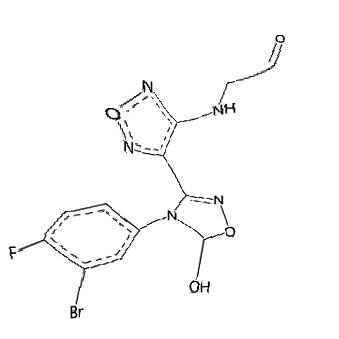 O=CCNc1nonc1C1=NOC(O)N1c1ccc(F)c(Br)c1